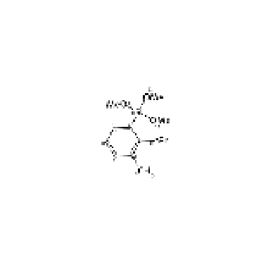 CCCc1c(C)cccc1[Si](OC)(OC)OC